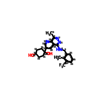 Cc1c(CNc2nnc(C)c3ncc(C4(O)CCC(O)CC4)cc23)cccc1C(F)(F)F